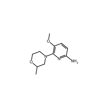 COc1ccc(N)nc1N1CCOC(C)C1